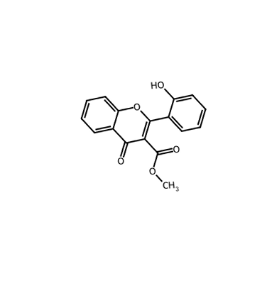 COC(=O)c1c(-c2ccccc2O)oc2ccccc2c1=O